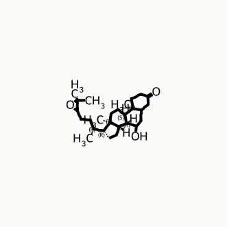 C[C@H](CCC1OC1(C)C)[C@H]1CC[C@H]2[C@@H]3C(O)CC4CC(=O)CC[C@]4(C)[C@H]3CC[C@]12C